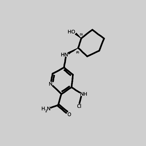 NC(=O)c1ncc(N[C@@H]2CCCC[C@@H]2O)cc1NCl